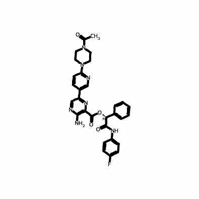 CC(=O)N1CCN(c2ccc(-c3cnc(N)c(C(=O)O[C@@H](C(=O)Nc4ccc(F)cc4)c4ccccc4)n3)cn2)CC1